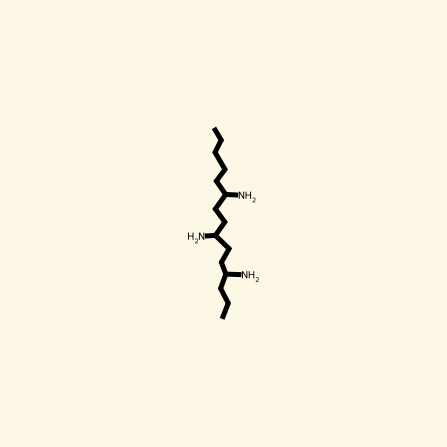 CCCCCC(N)CCC(N)CCC(N)CCC